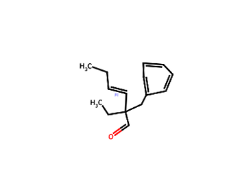 CC/C=C/C(C=O)(CC)Cc1ccccc1